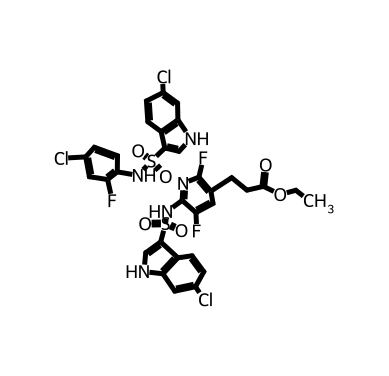 CCOC(=O)CCc1cc(F)c(NS(=O)(=O)c2c[nH]c3cc(Cl)ccc23)nc1F.O=S(=O)(Nc1ccc(Cl)cc1F)c1c[nH]c2cc(Cl)ccc12